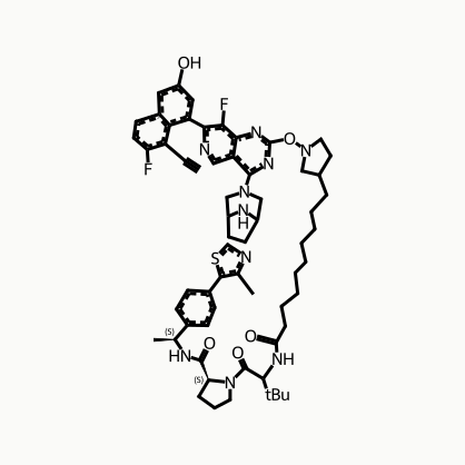 C#Cc1c(F)ccc2cc(O)cc(-c3ncc4c(N5CC6CCC(C5)N6)nc(ON5CCC(CCCCCCCCCC(=O)NC(C(=O)N6CCC[C@H]6C(=O)N[C@@H](C)c6ccc(-c7scnc7C)cc6)C(C)(C)C)C5)nc4c3F)c12